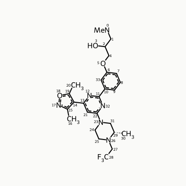 CNCC(O)COc1cccc(-c2nc(-c3c(C)noc3C)cc(N3CCN(CC(F)(F)F)[C@@H](C)C3)n2)c1